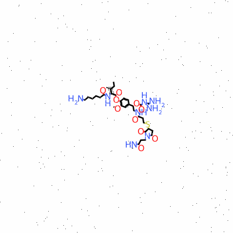 CC[C@H](C)[C@H](NC(=O)CCCCCN)C(=O)Oc1ccc(C(CNC(=O)CCSC2CC(=O)N(CCC(=O)NC)C2=O)OC(=O)NC(N)N)cc1OC